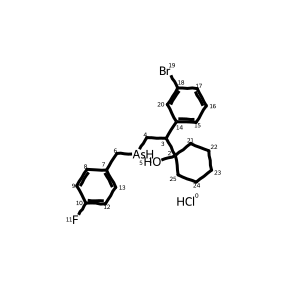 Cl.OC1(C(C[AsH]Cc2ccc(F)cc2)c2cccc(Br)c2)CCCCC1